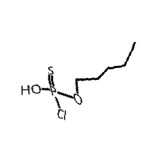 CCCCCOP(O)(=S)Cl